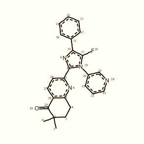 CC1(C)CCc2nc(-c3nc(-c4ccccc4)c(F)n3-c3cccnc3)ccc2C1=O